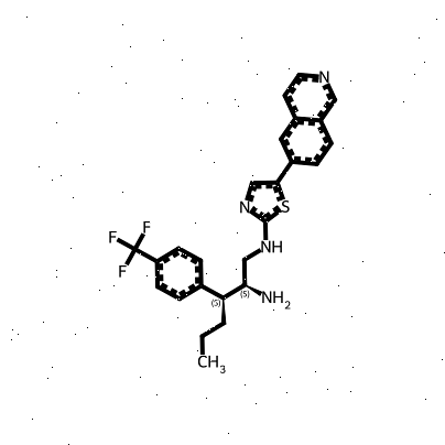 CCC[C@@H](c1ccc(C(F)(F)F)cc1)[C@H](N)CNc1ncc(-c2ccc3cnccc3c2)s1